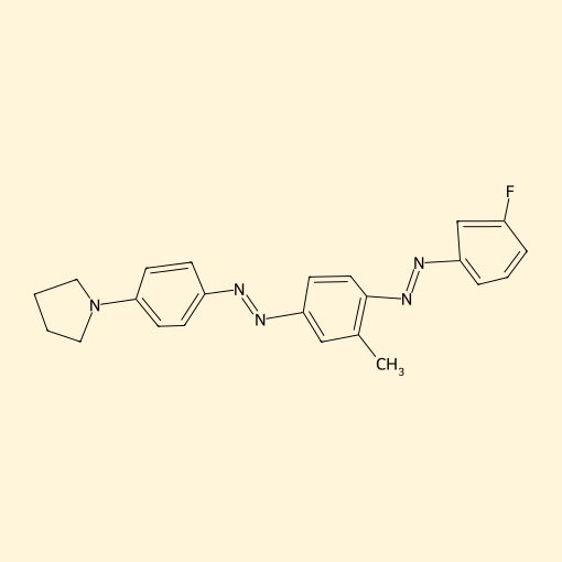 Cc1cc(/N=N/c2ccc(N3CCCC3)cc2)ccc1/N=N/c1cccc(F)c1